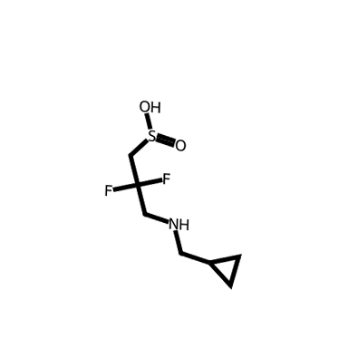 O=S(O)CC(F)(F)CNCC1CC1